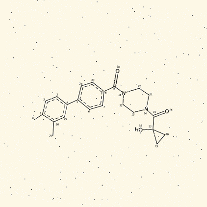 Cc1ccc(-c2ccc(C(=O)N3CCN(C(=O)C4(O)CC4)CC3)cc2)cc1C